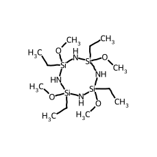 CC[Si]1(OC)N[Si](CC)(OC)N[Si](CC)(OC)N[Si](CC)(OC)N1